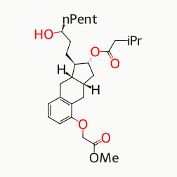 CCCCC[C@H](O)CC[C@@H]1[C@H]2Cc3cccc(OCC(=O)OC)c3C[C@H]2C[C@H]1OC(=O)CC(C)C